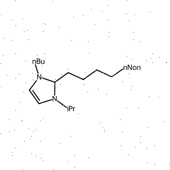 CCCCCCCCCCCCCC1N(CCCC)C=CN1C(C)C